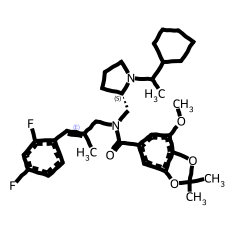 COc1cc(C(=O)N(C/C(C)=C/c2ccc(F)cc2F)C[C@@H]2CCCN2C(C)C2CCCCC2)cc2c1OC(C)(C)O2